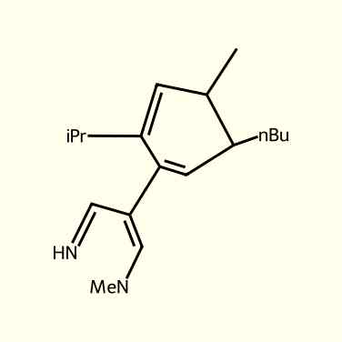 CCCCC1C=C(/C(C=N)=C/NC)C(C(C)C)=CC1C